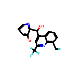 Oc1cccnc1C(O)c1cc(C(F)(F)F)nc2c(CF)cccc12